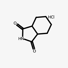 Cl.O=C1NC(=O)C2CCCCC12